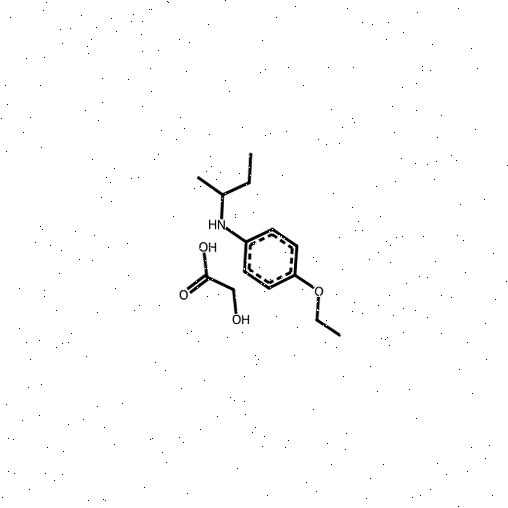 CCOc1ccc(NC(C)CC)cc1.O=C(O)CO